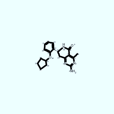 Cc1nc(N)nc2c1C(=O)N[C@@H](c1ccccc1OC1CCCC1)C2